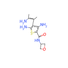 C/C(N)=C(\C)c1c(N)sc(C(=O)NC2COC2)c1N